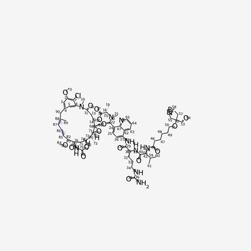 COc1cc2cc(c1Cl)N(C)C(=O)C[C@H](OC(=O)[C@H](C)N(C)C(=O)c1ccc(NC(=O)[C@H](CCCNC(N)=O)NC(=O)[C@@H](NC(=O)CCCCCOC(C=O)(CBr)CBr)C(C)C)c3cccnc13)[C@]1(C)O[C@H]1[C@H](C)[C@@H]1C[C@@](O)(NC(=O)O1)[C@H](OC)/C=C/C=C(\C)C2